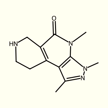 Cc1nn(C)c2c1c1c(c(=O)n2C)CNCC1